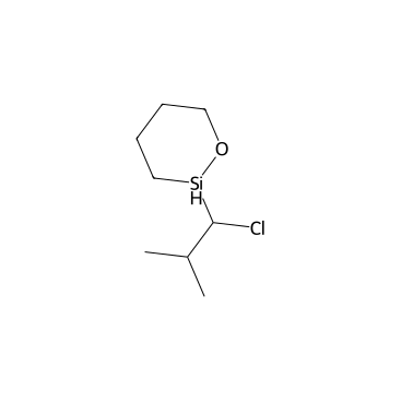 CC(C)C(Cl)[SiH]1CCCCO1